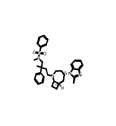 Cc1nc2ccccc2n1[C@H]1CCN(CCC(C)(CN(C)S(=O)(=O)c2ccccc2)c2ccccc2)C2CC[C@H]2C1